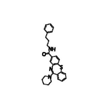 O=C(NCCCc1ccccc1)c1ccc2c(c1)N=C(N1CCCCC1)c1ccccc1S2